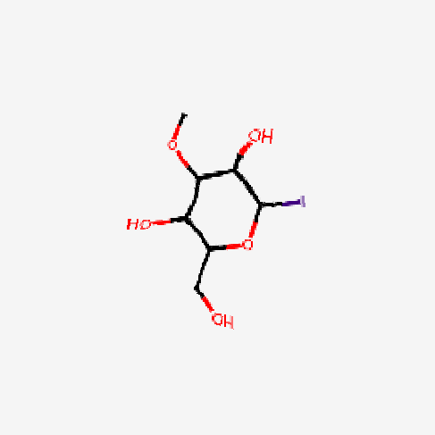 COC1C(O)C(I)OC(CO)C1O